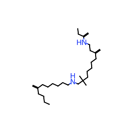 C=C(CCCC)CCCCCCNCC(C)(C)CCCCCC(=C)CCNC(=C)CC